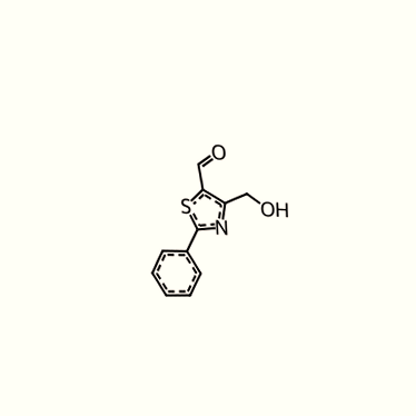 O=Cc1sc(-c2ccccc2)nc1CO